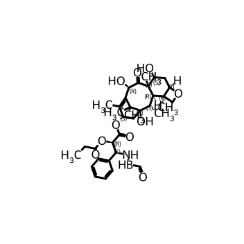 CCC(=O)O[C@@H](C(=O)O[C@H]1C[C@@]2(O)[C@@H](C)[C@@H]3[C@]4(C)CO[C@@H]4C[C@H](O)[C@@]3(C)C(=O)[C@H](O)C(=C1C)C2(C)C)[C@@H](NBC=O)c1ccccc1